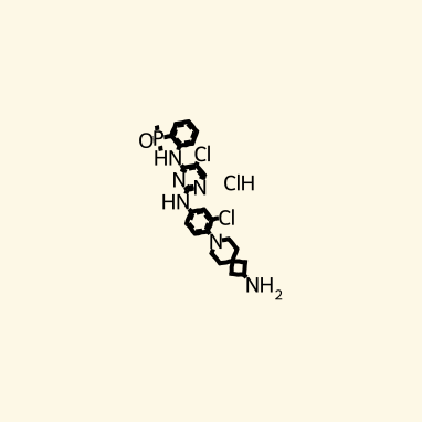 CP(C)(=O)c1ccccc1Nc1nc(Nc2ccc(N3CCC4(CC3)CC(N)C4)c(Cl)c2)ncc1Cl.Cl